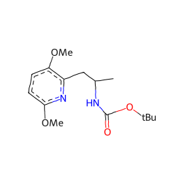 COc1ccc(OC)c(CC(C)NC(=O)OC(C)(C)C)n1